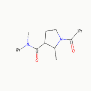 CC(C)C(=O)N1CCC(C(=O)N(C)C(C)C)C1C